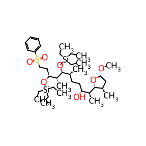 CC[Si](CC)(CC)O[C@H]([C@H](C)[C@H](CCS(=O)(=O)c1ccccc1)O[Si](CC)(CC)CC)[C@@H](C)CC[C@@H](O)[C@H](C)[C@@H]1O[C@H](OC)C[C@H]1C